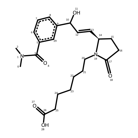 CN(C)C(=O)c1cccc(C(O)/C=C/[C@H]2CCC(=O)N2CCCCCCC(=O)O)c1